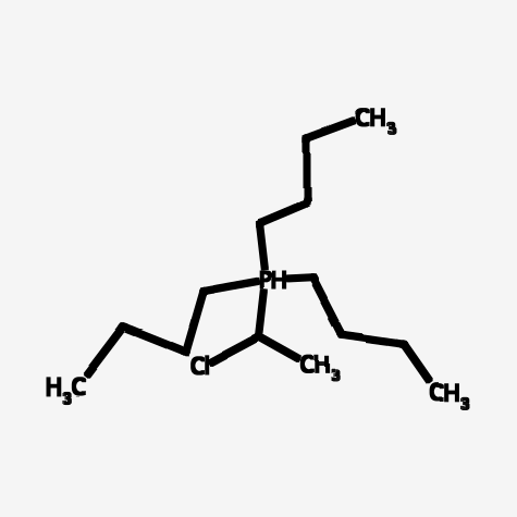 CCCC[PH](CCCC)(CCCC)C(C)Cl